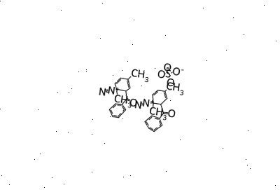 CC1=CC(C(=O)c2ccccc2)C(C)([N+]#N)C=C1.CC1=CC(C(=O)c2ccccc2)C(C)([N+]#N)C=C1.O=S(=O)([O-])[O-]